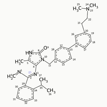 C=N/C(=N\c1c(C)[nH]c(=O)n1Cc1ccc(-c2cccc(CCN(C)C)c2)cc1)c1ccccc1C(C)C